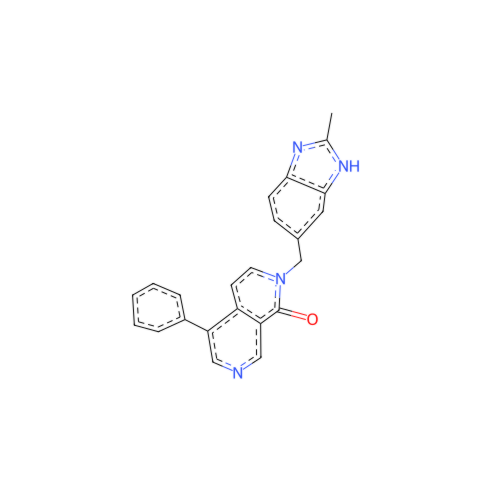 Cc1nc2ccc(Cn3ccc4c(-c5ccccc5)cncc4c3=O)cc2[nH]1